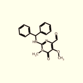 COc1c(C=O)nc(NC(c2ccccc2)c2ccccc2)n(C)c1=O